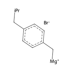 CC(C)Cc1ccc([CH2][Mg+])cc1.[Br-]